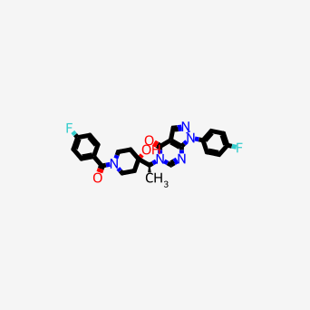 C[C@H](n1cnc2c(cnn2-c2ccc(F)cc2)c1=O)C1(O)CCN(C(=O)c2ccc(F)cc2)CC1